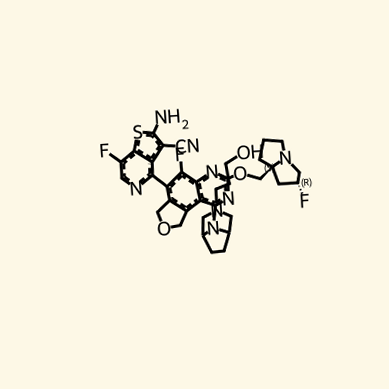 N#Cc1c(N)sc2c(F)cnc(-c3c4c(c5c(N6C7CCC6CN(CCCO)C7)nc(OC[C@@]67CCCN6C[C@H](F)C7)nc5c3F)COC4)c12